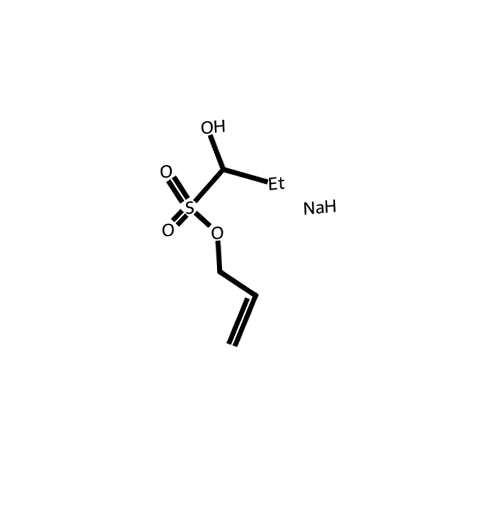 C=CCOS(=O)(=O)C(O)CC.[NaH]